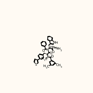 Cc1cc(C)cc(C(=O)N(C)[C@@H](Cc2ccc(-c3ccsc3)cc2)C(=O)N(C(=O)c2ccccc2)[C@@H](Cc2c[nH]c3ccccc23)C(=O)NN)c1